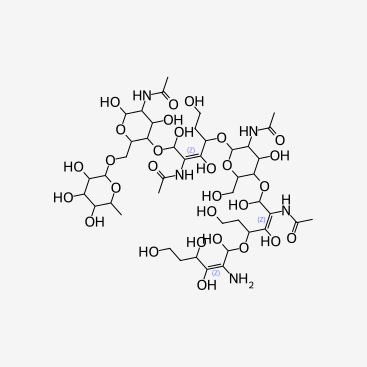 CC(=O)N/C(=C(\O)C(CCO)OC(O)/C(N)=C(/O)C(O)CCO)C(O)OC1C(CO)OC(OC(CCO)/C(O)=C(/NC(C)=O)C(O)OC2C(COC3OC(C)C(O)C(O)C3O)OC(O)C(NC(C)=O)C2O)C(NC(C)=O)C1O